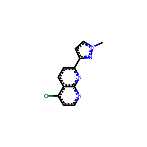 Cn1ccc(-c2ccc3c(Cl)ccnc3n2)n1